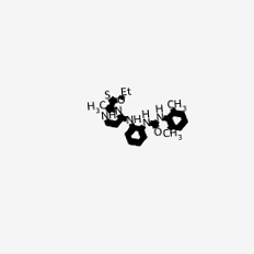 CCOC(=S)C1(C)N=C(Nc2ccccc2NC(=O)Nc2c(C)cccc2C)C=CN1